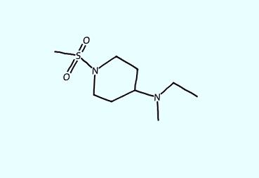 CCN(C)C1CCN(S(C)(=O)=O)CC1